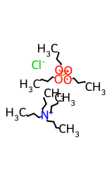 CCCCOP(=O)(OCCCC)OCCCC.CCCC[N+](CCCC)(CCCC)CCCC.[Cl-]